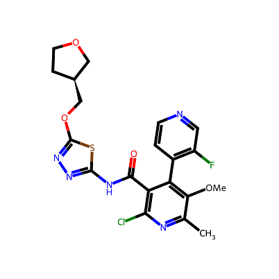 COc1c(C)nc(Cl)c(C(=O)Nc2nnc(OC[C@H]3CCOC3)s2)c1-c1ccncc1F